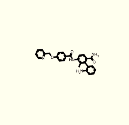 Cc1c(NC(=O)c2ccc(OCc3ccccn3)cc2)ccc(C(N)=O)c1-c1ccccc1N